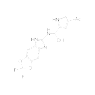 CC(=O)c1c[nH]c(C(O)Nc2nc3cc4c(cc3[nH]2)OC(F)(F)O4)c1